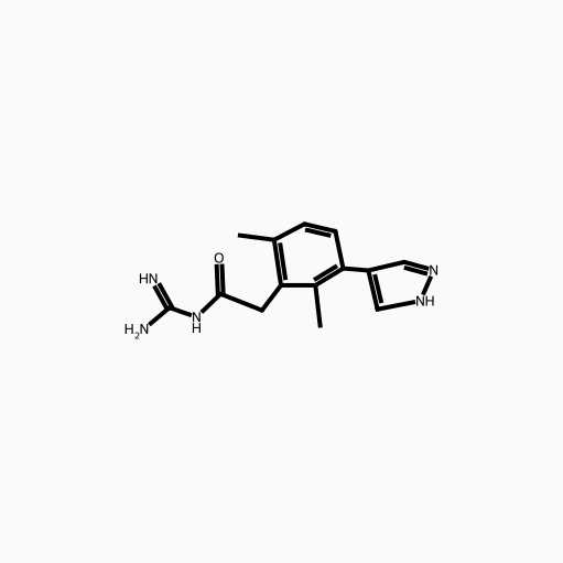 Cc1ccc(-c2cn[nH]c2)c(C)c1CC(=O)NC(=N)N